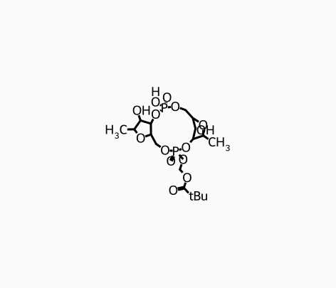 CC1OC2COP(=O)(OCOC(=O)C(C)(C)C)OC3C(C)OC(COP(=O)(O)OC2C1O)C3O